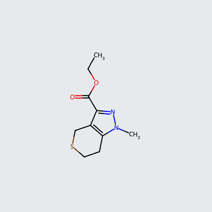 CCOC(=O)c1nn(C)c2c1CSCC2